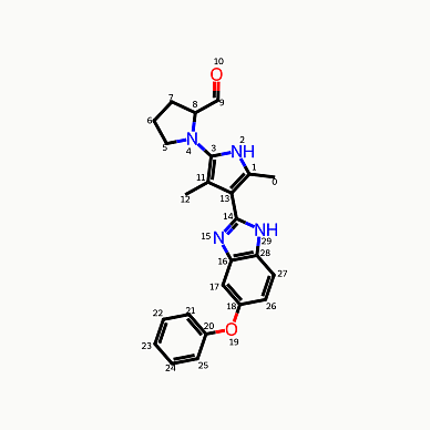 Cc1[nH]c(N2CCCC2C=O)c(C)c1-c1nc2cc(Oc3ccccc3)ccc2[nH]1